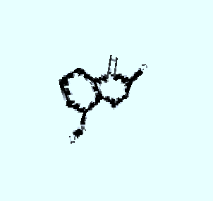 O=Nc1cccc2[nH]c(=O)ccc12